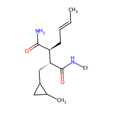 C/C=C/C[C@H](C(N)=O)[C@@H](CC1CC1C)C(=O)NCC